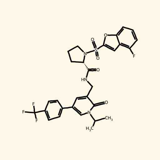 CC(C)n1cc(-c2ccc(C(F)(F)F)cc2)cc(CNC(=O)[C@@H]2CCCN2S(=O)(=O)c2cc3c(F)cccc3o2)c1=O